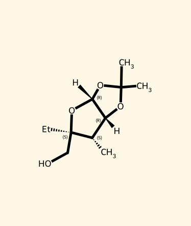 CC[C@]1(CO)O[C@@H]2OC(C)(C)O[C@@H]2[C@@H]1C